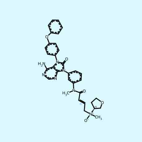 CN(C(=O)/C=C/C[N+](C)([O-])[C@H]1CCOC1)c1cccc(-n2c(=O)n(-c3ccc(Oc4ccccc4)cc3)c3c(N)ncnc32)c1